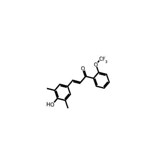 Cc1cc(C=CC(=O)c2ccccc2OC(F)(F)F)cc(C)c1O